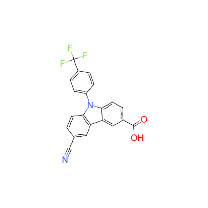 N#Cc1ccc2c(c1)c1cc(C(=O)O)ccc1n2-c1ccc(C(F)(F)F)cc1